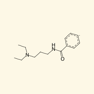 CCN(CC)CCCNC(=O)c1cc[c]cc1